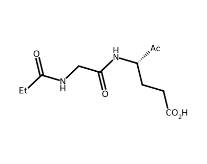 CCC(=O)NCC(=O)N[C@@H](CCC(=O)O)C(C)=O